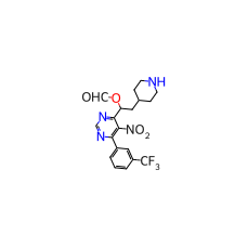 O=COC(CC1CCNCC1)c1ncnc(-c2cccc(C(F)(F)F)c2)c1[N+](=O)[O-]